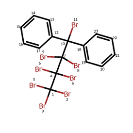 BrC(Br)(Br)C(Br)(Br)C(Br)(Br)C(Br)(c1ccccc1)c1ccccc1